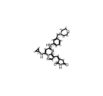 O=C1CC(=Cc2cnn3c(NC4CC4)cc(Nc4cccc(CN5CCOCC5)c4)nc23)C(=O)N1